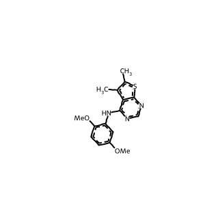 COc1ccc(OC)c(Nc2ncnc3sc(C)c(C)c23)c1